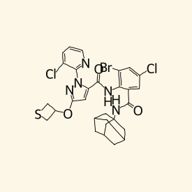 O=C(NC12CC3CC(CC(C3)C1)C2)c1cc(Cl)cc(Br)c1NC(=O)c1cc(OC2CSC2)nn1-c1ncccc1Cl